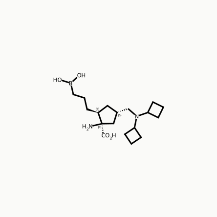 N[C@]1(C(=O)O)C[C@@H](CN(C2CCC2)C2CCC2)C[C@@H]1CCCB(O)O